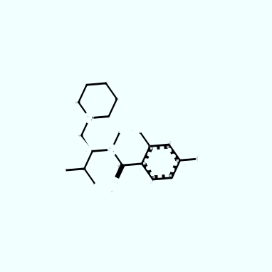 CC(C)[C@@H](CN1CCCCC1)N(C)C(=O)c1ccc(F)cc1Cl